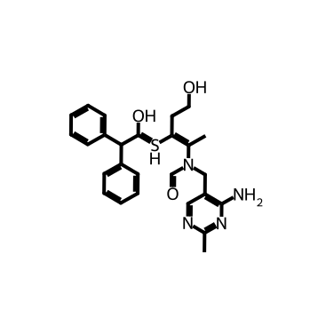 C/C(=C(CCO)/[SH]=C(\O)C(c1ccccc1)c1ccccc1)N(C=O)Cc1cnc(C)nc1N